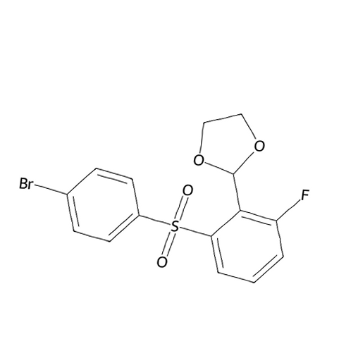 O=S(=O)(c1ccc(Br)cc1)c1cccc(F)c1C1OCCO1